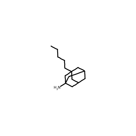 CCCCCC12CC3CC(CC(N)(C3)C1)C2